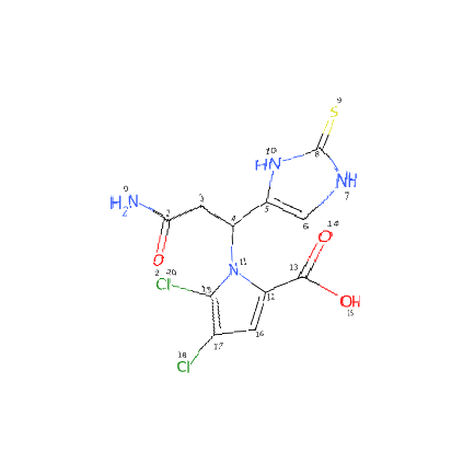 NC(=O)CC(c1c[nH]c(=S)[nH]1)n1c(C(=O)O)cc(Cl)c1Cl